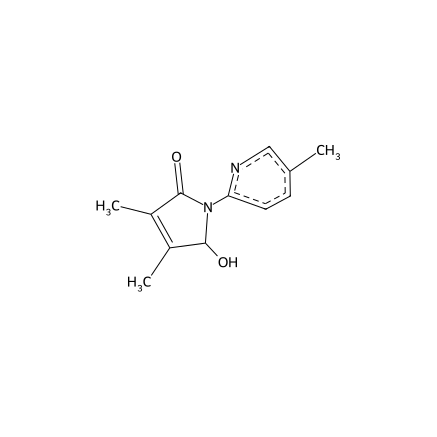 CC1=C(C)C(O)N(c2ccc(C)cn2)C1=O